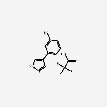 N#Cc1cccc(-c2cn[nH]c2)c1.O=C(O)C(F)(F)F